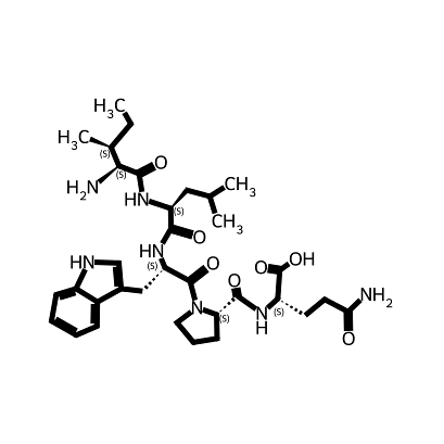 CC[C@H](C)[C@H](N)C(=O)N[C@@H](CC(C)C)C(=O)N[C@@H](Cc1c[nH]c2ccccc12)C(=O)N1CCC[C@H]1C(=O)N[C@@H](CCC(N)=O)C(=O)O